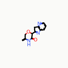 C=C1COC(C2=Nc3cccnc3C2)C(=O)N1